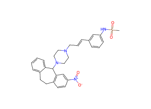 CS(=O)(=O)Nc1cccc(C=CCN2CCN(C3c4ccccc4CCc4ccc([N+](=O)[O-])cc43)CC2)c1